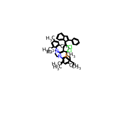 CCCCP(CCCC)C(Cl)C(CC(Cl)=C1C(c2ccccc2)=Cc2ccccc21)=C1N(c2c(C)cc(C)cc2C)CCN1c1c(C)cc(C)cc1C.[Ru+2]